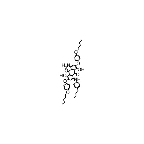 CCCCCOc1ccc(Oc2cc(N)c3c(c2O)C(=O)c2c(Nc4ccc(CCCC)cc4)cc(Oc4ccc(OCCCCC)cc4)c(O)c2C3=O)cc1